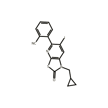 N#Cc1ccccc1-c1nc2sc(=O)n(CC3CC3)c2cc1I